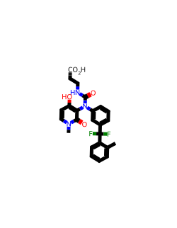 Cc1ccccc1C(F)(F)c1cccc(N(C(=O)NCCC(=O)O)c2c(O)ccn(C)c2=O)c1